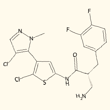 Cn1ncc(Cl)c1-c1cc(NC(=O)[C@@H](CN)Cc2ccc(F)c(F)c2)sc1Cl